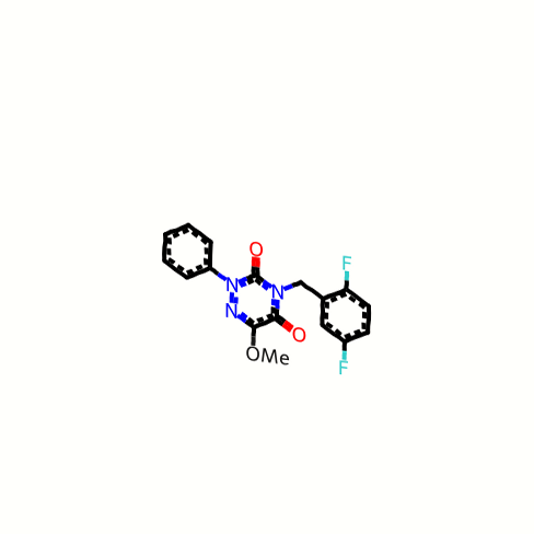 COc1nn(-c2ccccc2)c(=O)n(Cc2cc(F)ccc2F)c1=O